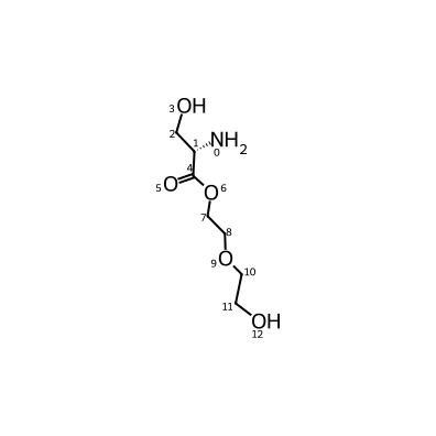 N[C@@H](CO)C(=O)OCCOCCO